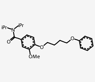 COc1cc(C(=O)N(C(C)C)C(C)C)ccc1OCCCCOc1ccccc1